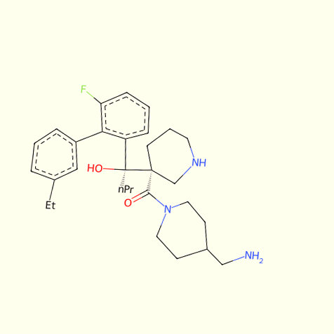 [CH2]CC[C@](O)(c1cccc(F)c1-c1cccc(CC)c1)[C@@]1(C(=O)N2CCC(CN)CC2)CCCNC1